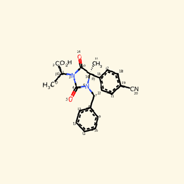 C[C@@H](C(=O)O)N1C(=O)N(Cc2ccccc2)[C@](C)(c2ccc(C#N)cc2)C1=O